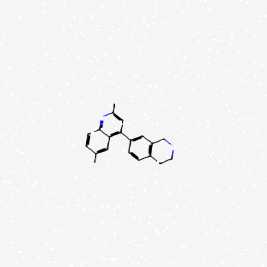 CC(=O)c1ccc2nc(C)cc(-c3ccc4c(c3)CNCC4)c2c1